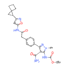 CC(C)n1nc(-c2ccc(CC(=O)Nc3cc(C4CC45CCC5)no3)cc2)c(C(N)=O)c1NC(=O)OC(C)(C)C